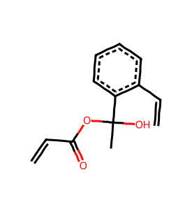 C=CC(=O)OC(C)(O)c1ccccc1C=C